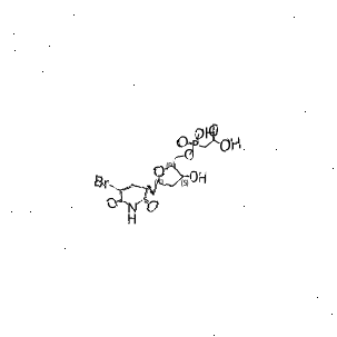 O=C(O)CP(=O)(O)OC[C@H]1O[C@@H](n2cc(Br)c(=O)[nH]c2=O)C[C@@H]1O